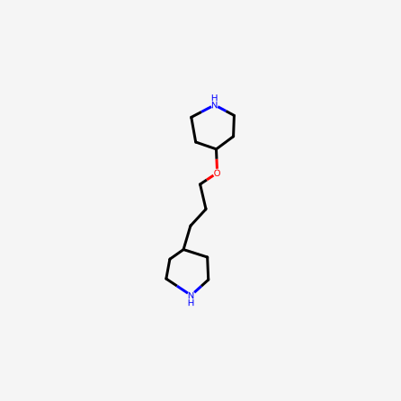 C(COC1CCNCC1)CC1CCNCC1